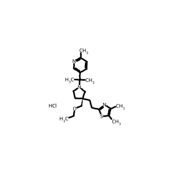 CCOC[C@@]1(CCc2nc(C)c(C)s2)CCN(C(C)(C)c2ccc(C)nc2)C1.Cl